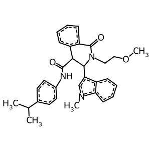 COCCN1C(=O)c2ccccc2C(C(=O)Nc2ccc(C(C)C)cc2)C1c1cn(C)c2ccccc12